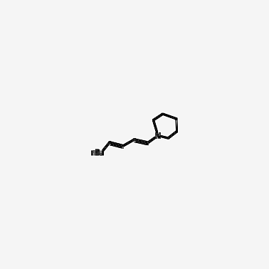 CCCCC=CC=CN1CCCCC1